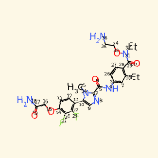 CCc1cc(NC(=O)c2ncc(-c3ccc(OCC(N)=O)c(F)c3F)n2C)ccc1C(=O)N(CC)OCCN